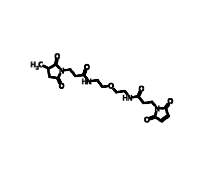 CC1CC(=O)N(CCC(=O)NCCOCCNC(=O)CCN2C(=O)C=CC2=O)C1=O